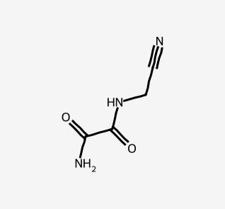 N#CCNC(=O)C(N)=O